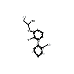 OC(CCl)Nc1cccc(-c2ccccc2Cl)c1F